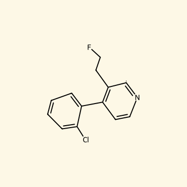 FCCc1[c]nccc1-c1ccccc1Cl